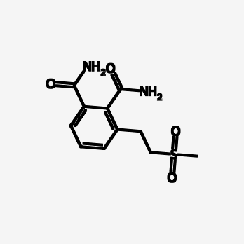 CS(=O)(=O)CCc1cccc(C(N)=O)c1C(N)=O